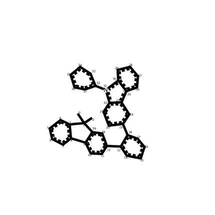 CC1(C)c2ccccc2-c2ccc(-c3ccccc3-c3ccc4c(c3)c3ccccc3n4-c3ccccc3)cc21